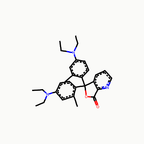 CCN(CC)c1ccc(C2(c3ccc(N(CC)CC)cc3C)OC(=O)c3ncccc32)c(C)c1